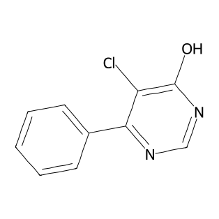 Oc1ncnc(-c2ccccc2)c1Cl